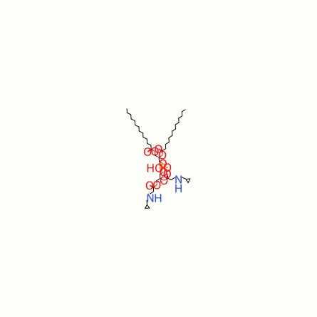 CCCCCCCCCCCCCC(=O)OC[C@H](COP(=O)(O)OCC(COC(=O)CCNCC1CC1)OC(=O)CCNCC1CC1)OC(=O)CCCCCCCCCCCCC